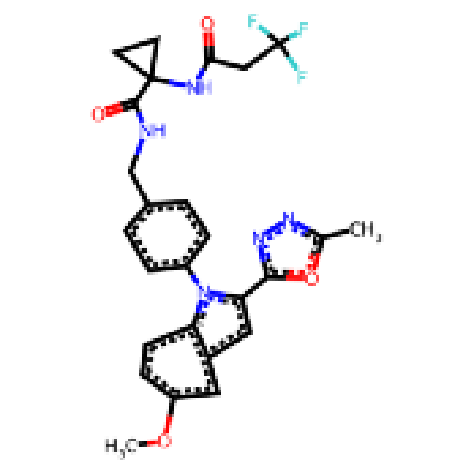 COc1ccc2c(c1)cc(-c1nnc(C)o1)n2-c1ccc(CNC(=O)C2(NC(=O)CC(F)(F)F)CC2)cc1